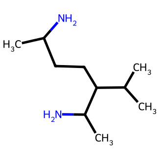 CC(N)CCC(C(C)C)C(C)N